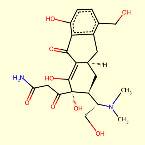 CN(C)[C@H](CO)[C@@H]1C[C@@H]2Cc3c(CO)ccc(O)c3C(=O)C2=C(O)[C@]1(O)C(=O)CC(N)=O